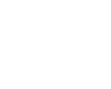 C1=COC=CO1.P